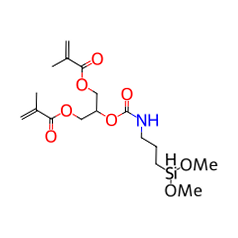 C=C(C)C(=O)OCC(COC(=O)C(=C)C)OC(=O)NCCC[SiH](OC)OC